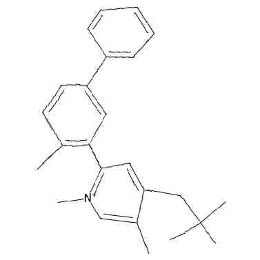 Cc1c[n+](C)c(-c2cc(-c3ccccc3)ccc2C)cc1CC(C)(C)C